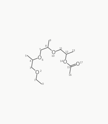 CCOCC(C)OCC(C)OCC(C)OC(C)=O